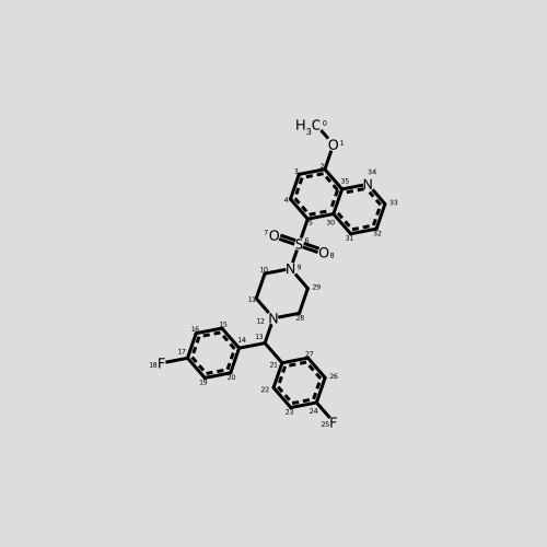 COc1ccc(S(=O)(=O)N2CCN(C(c3ccc(F)cc3)c3ccc(F)cc3)CC2)c2cccnc12